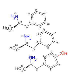 N[C@@H](Cc1ccc(O)cc1)C(=O)O.N[C@@H](Cc1ccccc1)C(=O)O.N[C@@H](Cc1ccccc1)C(=O)O